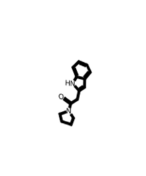 O=C(Cc1cc2ccccc2[nH]1)N1CCCC1